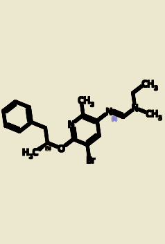 CCN(C)/C=N/c1cc(Br)c(O[C@@H](C)Cc2ccccc2)nc1C